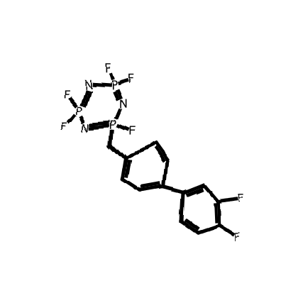 Fc1ccc(-c2ccc(CP3(F)=NP(F)(F)=NP(F)(F)=N3)cc2)cc1F